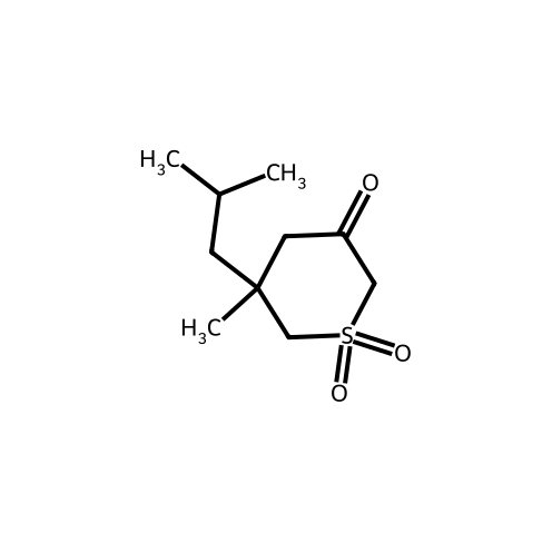 CC(C)CC1(C)CC(=O)CS(=O)(=O)C1